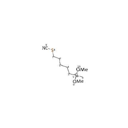 CO[Si](C)(CCCCCSC#N)OC